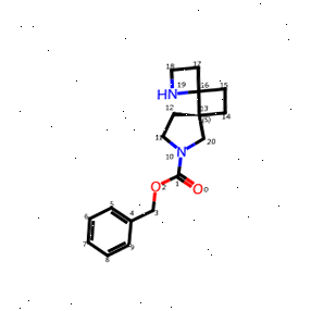 O=C(OCc1ccccc1)N1CC[C@@]2(CCC23CCN3)C1